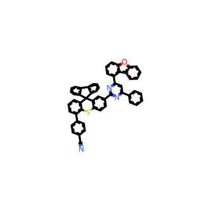 N#Cc1ccc(-c2cccc3c2Sc2ccc(-c4nc(-c5ccccc5)cc(-c5cccc6oc7ccccc7c56)n4)cc2C32c3ccccc3-c3ccccc32)cc1